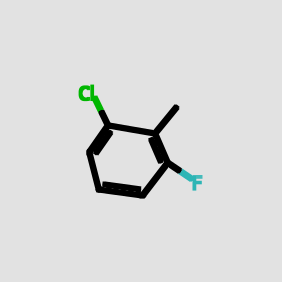 Cc1c(F)cccc1Cl